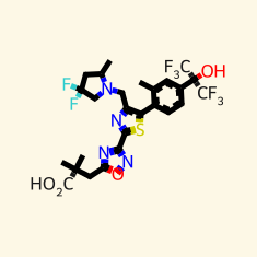 Cc1cc(C(O)(C(F)(F)F)C(F)(F)F)ccc1-c1sc(-c2noc(CC(C)(C)C(=O)O)n2)nc1CN1CC(F)(F)CC1C